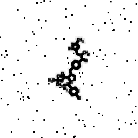 Cc1cc(CN(C)C(=O)c2ccc(CC3CC[C@H]([C@H](C)c4ccc(Cl)nc4)N3C(=O)OC(C)(C)C)cc2)[nH]n1